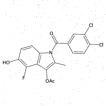 CC(=O)Oc1c(C)n(C(=O)c2ccc(Cl)c(Cl)c2)c2ccc(O)c(F)c12